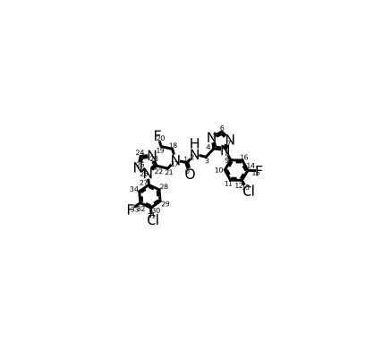 O=C(NCc1ncnn1-c1ccc(Cl)c(F)c1)N(CCF)Cc1ncnn1-c1ccc(Cl)c(F)c1